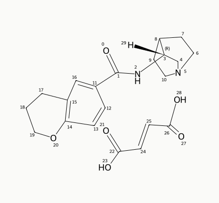 O=C(N[C@H]1CN2CCC1CC2)c1ccc2c(c1)CCCO2.O=C(O)C=CC(=O)O